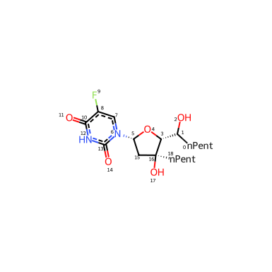 CCCCCC(O)[C@H]1O[C@@H](n2cc(F)c(=O)[nH]c2=O)C[C@@]1(O)CCCCC